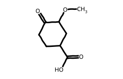 COC1CC(C(=O)O)CCC1=O